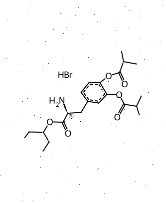 Br.CCC(CC)OC(=O)[C@@H](N)Cc1ccc(OC(=O)C(C)C)c(OC(=O)C(C)C)c1